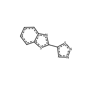 [c]1nnsc1-c1nc2ccccc2s1